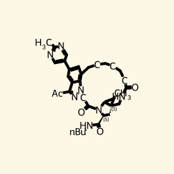 CCCCNC(=O)[C@@H]1C[C@]23CNC(=O)CCCCCCc4cc(-c5cnc(C)nc5)cc5c(C(C)=O)nn(c45)CC(=O)N1C2C3C